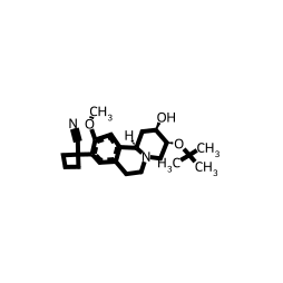 COc1cc2c(cc1C1(C#N)CCC1)CCN1C[C@@H](OC(C)(C)C)[C@H](O)C[C@H]21